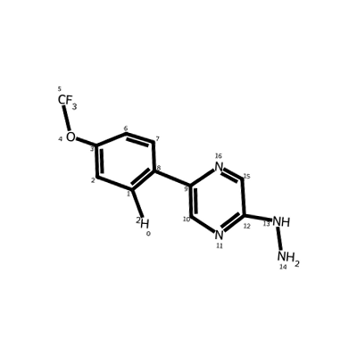 [2H]c1cc(OC(F)(F)F)ccc1-c1cnc(NN)cn1